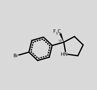 FC(F)(F)[C@@]1(c2ccc(Br)cc2)CCCN1